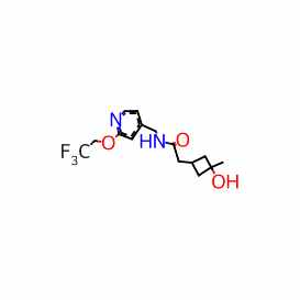 CC1(O)CC(CC(=O)NCc2ccnc(OCC(F)(F)F)c2)C1